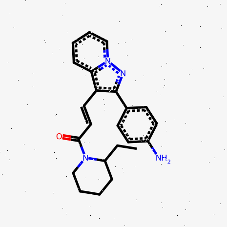 CCC1CCCCN1C(=O)/C=C/c1c(-c2ccc(N)cc2)nn2ccccc12